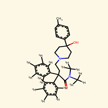 [2H]c1c([2H])c([2H])c(C(CCN2CCC(O)(c3ccc(C)cc3)CC2)(C(=O)N(C([2H])([2H])[2H])C([2H])([2H])[2H])c2c([2H])c([2H])c([2H])c([2H])c2[2H])c([2H])c1[2H]